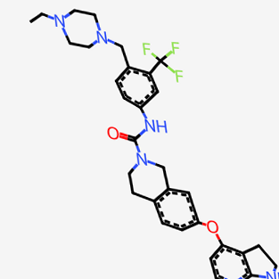 CCN1CCN(Cc2ccc(NC(=O)N3CCc4ccc(Oc5ccnc6c5CCN6)cc4C3)cc2C(F)(F)F)CC1